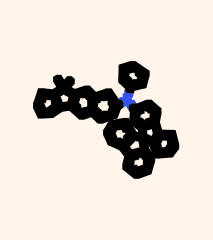 CC1(C)c2ccccc2-c2cc3ccc(N(c4ccccc4)c4ccc5c(c4)C4(c6ccccc6-c6ccccc64)c4ccccc4-5)cc3cc21